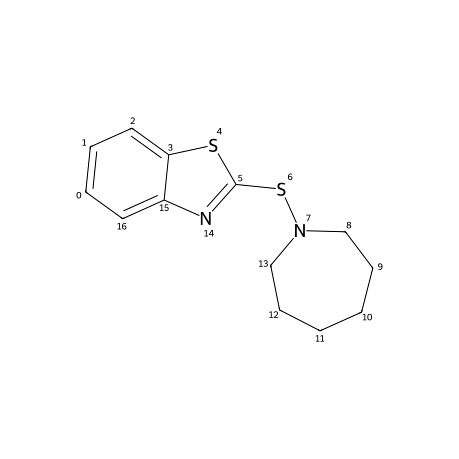 c1ccc2sc(SN3CCCCCC3)nc2c1